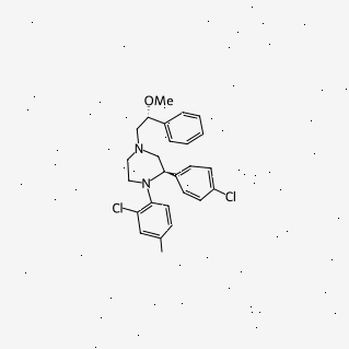 CO[C@@H](CN1CCN(c2ccc(C)cc2Cl)[C@H](c2ccc(Cl)cc2)C1)c1ccccc1